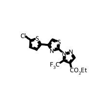 CCOC(=O)c1cnn(-c2nc(-c3ccc(Cl)s3)cs2)c1C(F)(F)F